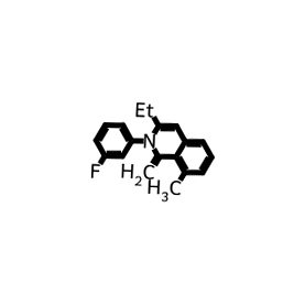 C=C1c2c(C)cccc2C=C(CC)N1c1cccc(F)c1